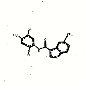 Cc1ccc2scc(C(=O)Nc3cc(Cl)c(C)cc3Cl)c2c1